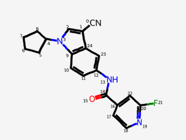 N#Cc1cn(C2CCCC2)c2ccc(NC(=O)c3ccnc(F)c3)cc12